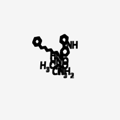 CC(C)[C@H](NC(=O)[C@@]1(NCCCCCCc2ccccc2)CCc2[nH]c3ccccc3c2C1)C(N)=O